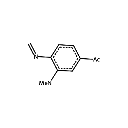 C=Nc1ccc(C(C)=O)cc1NC